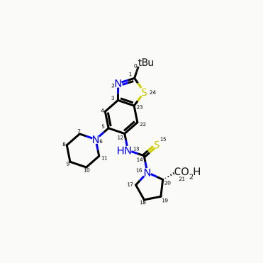 CC(C)(C)c1nc2cc(N3CCCCC3)c(NC(=S)N3CCC[C@H]3C(=O)O)cc2s1